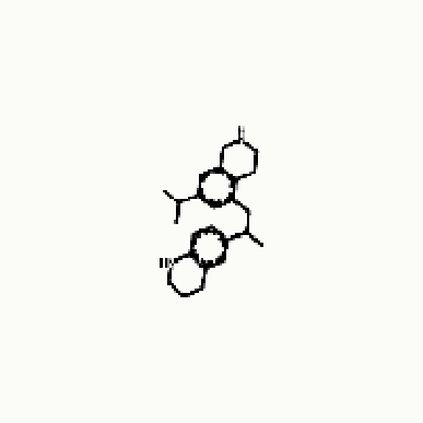 CC(C)c1cc2c(c(CC(C)c3ccc4c(c3)CCCN4)c1)CCNC2